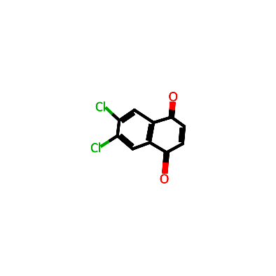 O=C1C=CC(=O)c2cc(Cl)c(Cl)cc21